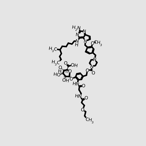 CCCCC(C)CCCCCNc1nc(N)nc2ccn(Cc3ccc(CN4CCN(C(=O)OCc5ccc(O[C@@H]6O[C@H](C(=O)O)[C@@H](O)[C@H](O)[C@H]6O)c(NC(=O)CCNC(=O)CCOCCC)c5)CC4)cc3OC)c12